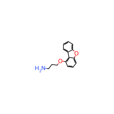 NCCCOc1cccc2oc3ccccc3c12